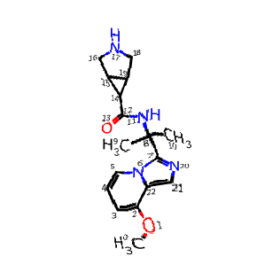 COc1cccn2c(C(C)(C)NC(=O)C3C4CNCC43)ncc12